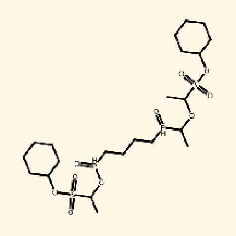 CC(OC(C)S(=O)(=O)OC1CCCCC1)[PH](=O)CCCC[PH](=O)OC(C)S(=O)(=O)OC1CCCCC1